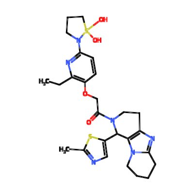 CCc1nc(N2CCCS2(O)O)ccc1OCC(=O)N1CCc2nc3n(c2C1c1cnc(C)s1)CCCC3